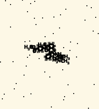 CC[C@H](NC(=O)OC(C)(C)C)c1nc2cccc(N(C)Cc3ccc(C(=O)OC)cc3)c2c(=O)n1-c1ccccc1